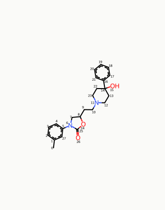 Cc1cccc(N2CC(CCN3CCC(O)(c4ccccc4)CC3)OC2=O)c1